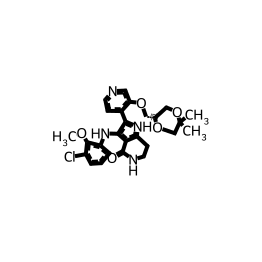 COc1c(Cl)cccc1Nc1c(-c2ccncc2OC[C@@H]2COC(C)(C)CO2)[nH]c2c1C(=O)NCC2